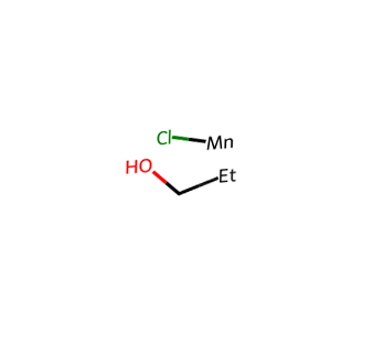 CCCO.[Cl][Mn]